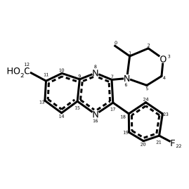 CC1COCCN1c1nc2cc(C(=O)O)ccc2nc1-c1ccc(F)cc1